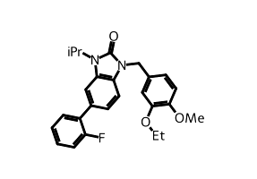 CCOc1cc(Cn2c(=O)n(C(C)C)c3cc(-c4ccccc4F)ccc32)ccc1OC